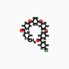 Cc1ccc(C(=O)c2ccc(Oc3ccc(Oc4ccc(Oc5ccc(C(=O)c6ccc(Cl)cc6)cc5)cc4)cc3)cc2)cc1